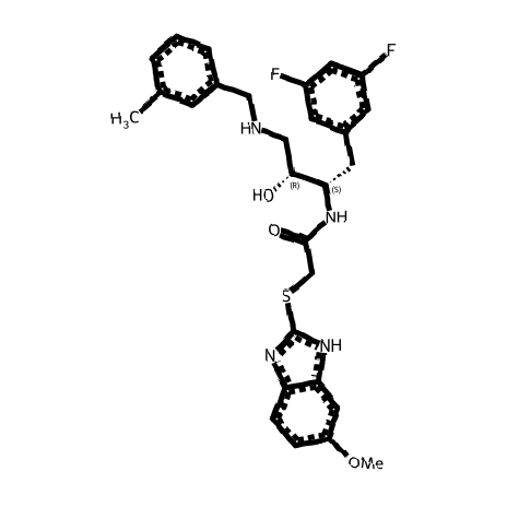 COc1ccc2nc(SCC(=O)N[C@@H](Cc3cc(F)cc(F)c3)[C@H](O)CNCc3cccc(C)c3)[nH]c2c1